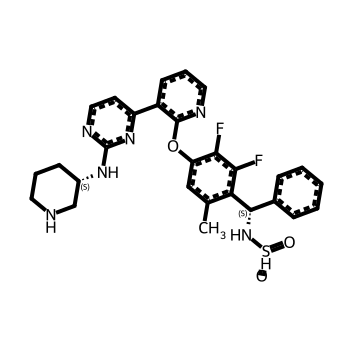 Cc1cc(Oc2ncccc2-c2ccnc(N[C@H]3CCCNC3)n2)c(F)c(F)c1[C@@H](N[SH](=O)=O)c1ccccc1